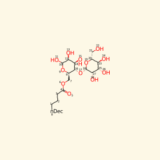 CCCCCCCCCCCCCC(=O)OC[C@H]1OC(O)[C@@H](O)[C@@H](O)[C@@H]1O[C@@H]1O[C@H](CO)[C@@H](O)[C@H](O)[C@@H]1O